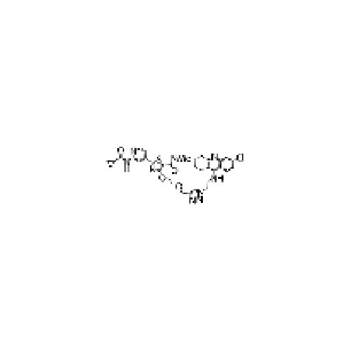 CNC(=O)c1sc(-c2ccnc(NC(=O)C3CC3)c2)nc1OCCOCc1cn(CCNc2c3c(nc4cc(Cl)ccc24)CCCC3)nn1